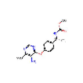 COc1ncnc(Oc2ccc([C@H](NC(=O)OC(C)(C)C)C(F)(F)F)cc2)c1N